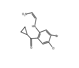 O=C(c1cc(Cl)c(Br)cc1N/C=C\[N+](=O)[O-])C1CC1